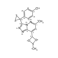 Cc1cc(C2OC(C)O2)c2nnc(C3(c4ccc(Cl)cc4)CC3)n2n1